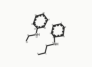 CCCNc1ccccc1.CCNc1ccccc1